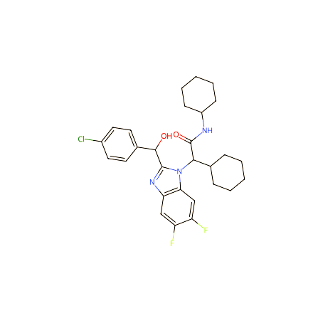 O=C(NC1CCCCC1)C(C1CCCCC1)n1c(C(O)c2ccc(Cl)cc2)nc2cc(F)c(F)cc21